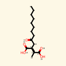 CCCCCCCCC(=O)CC(C(=O)O)=C(C)C(=O)O